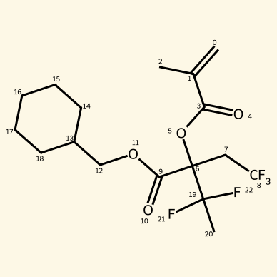 C=C(C)C(=O)OC(CC(F)(F)F)(C(=O)OCC1CCCCC1)C(C)(F)F